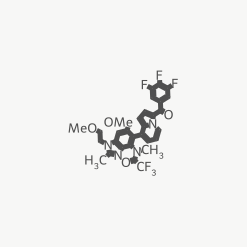 COCCn1c(C)nc2c(N(C)C(=O)C(F)(F)F)c(-c3cccn4c(C(=O)c5cc(F)c(F)c(F)c5)ccc34)c(OC)cc21